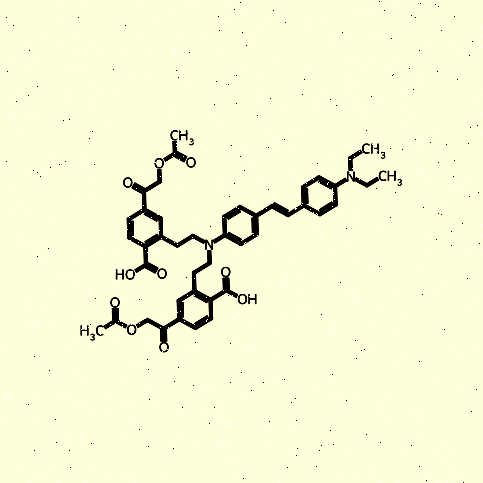 CCN(CC)c1ccc(C=Cc2ccc(N(CCc3cc(C(=O)COC(C)=O)ccc3C(=O)O)CCc3cc(C(=O)COC(C)=O)ccc3C(=O)O)cc2)cc1